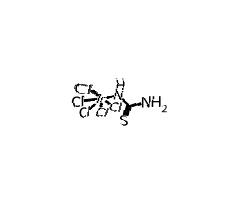 NC(=S)[NH][Ir]([Cl])([Cl])([Cl])([Cl])[Cl]